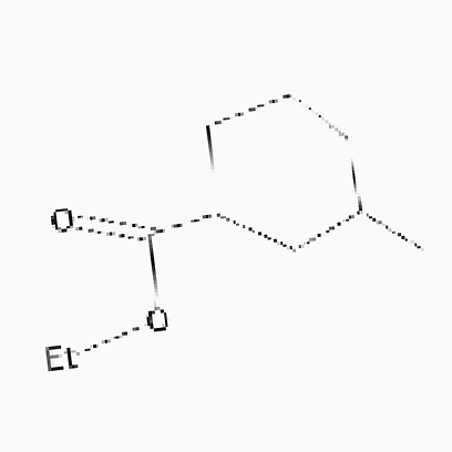 CCOC(=O)C1CCCC(C)C1